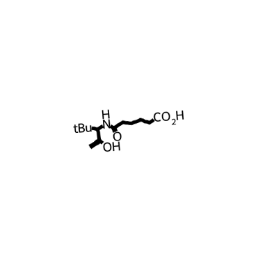 C=C(O)C(NC(=O)CCCCC(=O)O)C(C)(C)C